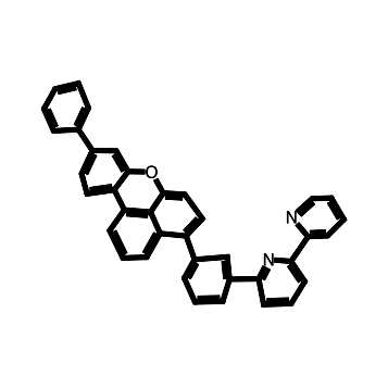 c1ccc(-c2ccc3c(c2)Oc2ccc(-c4cccc(-c5cccc(-c6ccccn6)n5)c4)c4cccc-3c24)cc1